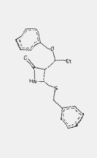 CCC(Oc1ccccc1)C1C(=O)NC1SCc1ccccc1